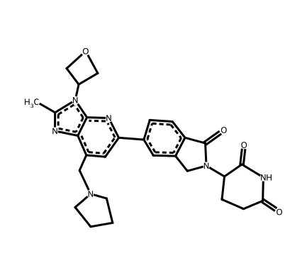 Cc1nc2c(CN3CCCC3)cc(-c3ccc4c(c3)CN(C3CCC(=O)NC3=O)C4=O)nc2n1C1COC1